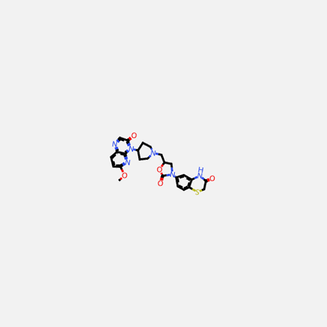 COc1ccc2ncc(=O)n(C3CCN(CC4CN(c5ccc6c(c5)NC(=O)CS6)C(=O)O4)CC3)c2n1